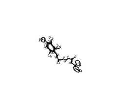 COC(=O)C=C(C)C=CC=C(C)C=Cc1c(C)cc(OC)c(C)c1C